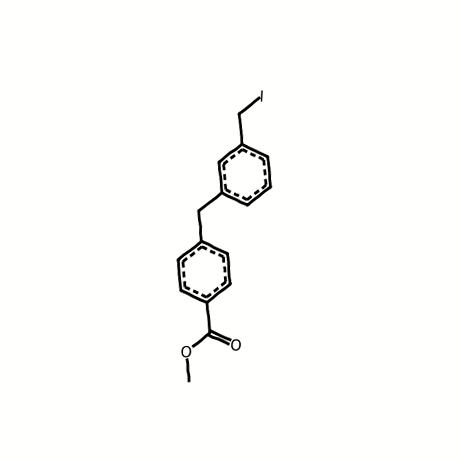 COC(=O)c1ccc(Cc2cccc(CI)c2)cc1